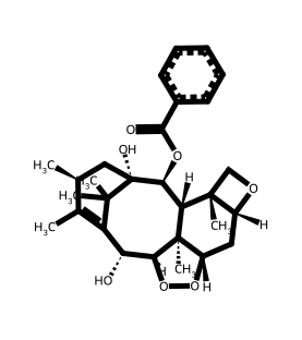 CC1=C2[C@@H](O)[C@@H]3OO[C@H]4C[C@H]5OC[C@@]5(C)[C@@H]([C@H](OC(=O)c5ccccc5)[C@](O)(C[C@@H]1C)C2(C)C)[C@@]43C